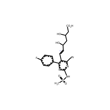 CC(C)c1nc(NS(C)(=O)=O)nc(-c2ccc(F)cc2)c1/C=C/C(O)CC(O)CC(=O)O